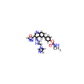 CNC(=O)Oc1ccc(-c2ccc3ncc(-c4nnco4)c(NCCCn4ccnc4)c3c2)cc1